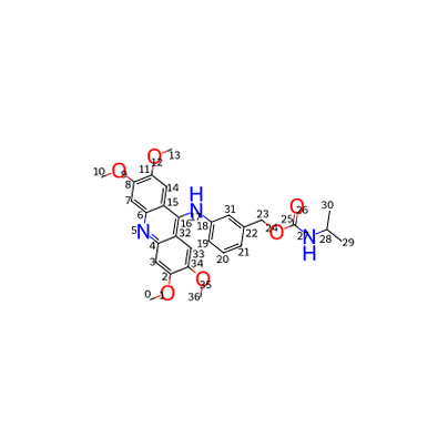 COc1cc2nc3cc(OC)c(OC)cc3c(Nc3cccc(COC(=O)NC(C)C)c3)c2cc1OC